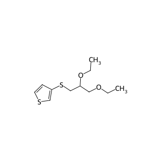 CCOCC(CSc1ccsc1)OCC